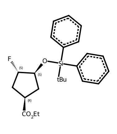 CCOC(=O)[C@@H]1C[C@H](O[Si](c2ccccc2)(c2ccccc2)C(C)(C)C)[C@@H](F)C1